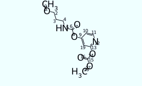 COCCCNC(=O)Oc1ccnc(OC(=O)OC)c1